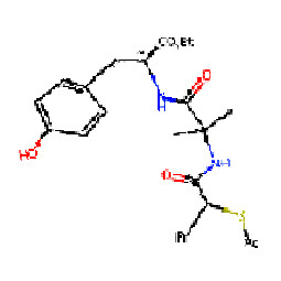 CCOC(=O)[C@H](Cc1ccc(O)cc1)NC(=O)C(C)(C)NC(=O)C(SC(C)=O)C(C)C